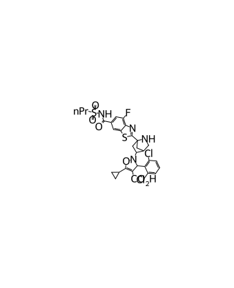 CCCS(=O)(=O)NC(=O)c1cc(F)c2nc(C34CC(CN3)C(N3OC(C5CC5)=C(C(=O)O)C3c3c(Cl)cccc3Cl)C4)sc2c1